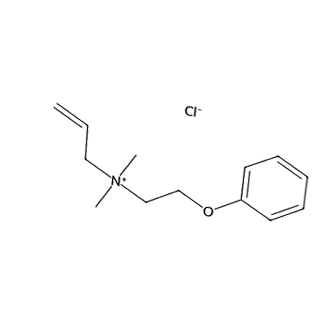 C=CC[N+](C)(C)CCOc1ccccc1.[Cl-]